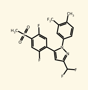 Cc1ccc(-n2nc(C(F)F)cc2-c2cc(F)c(S(C)(=O)=O)cc2F)cc1C(F)(F)F